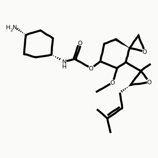 COC1C(OC(=O)N[C@H]2CC[C@@H](N)CC2)CC[C@]2(CO2)C1C1(C)O[C@@H]1CC=C(C)C